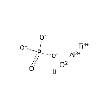 O=P([O-])([O-])[O-].[Al+3].[Li+].[O-2].[Ti+4]